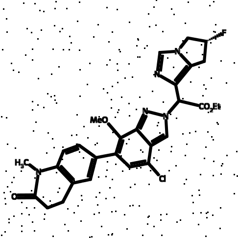 CCOC(=O)C(c1ncn2c1C[C@@H](F)C2)n1cc2c(Cl)cc(-c3ccc4c(c3)CCC(=O)N4C)c(OC)c2n1